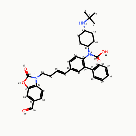 CC(C)(C)N[C@H]1CC[C@H](N(C(=O)O)c2ccc(C=CCCn3c(=O)oc4cc(C=O)ccc43)cc2-c2ccccc2)CC1